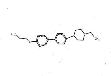 CCCOc1ccc(-c2ccc(C3CCC(CC)CC3)cc2)cc1